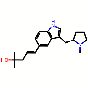 CN1CCC[C@@H]1Cc1c[nH]c2ccc(/C=C/CC(C)(C)O)cc12